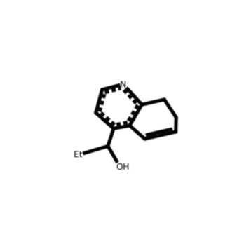 CCC(O)c1ccnc2c1C=CCC2